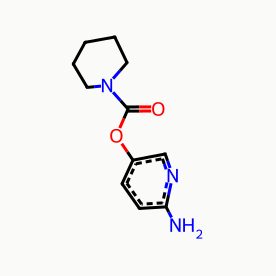 Nc1ccc(OC(=O)N2CCCCC2)cn1